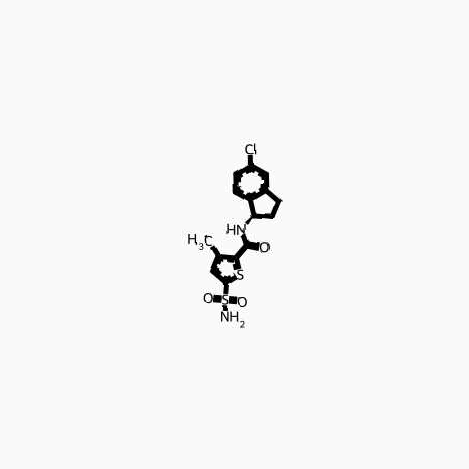 Cc1cc(S(N)(=O)=O)sc1C(=O)N[C@@H]1CCc2cc(Cl)ccc21